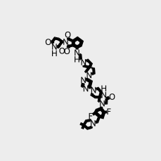 CC1(C)CCN(Cc2cc(F)c(N3CC(=O)NC4(CCN(c5cc(N6CC[C@@]7(CCN(CCNc8cccc9c8C(=O)N(C8CCC(=O)NC8=O)C9=O)C7)C6)ncn5)CC4)C3)cc2F)CC1